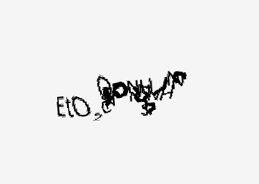 CCOC(=O)N=S(C)(=O)c1ccc(Nc2ncc(-c3cccs3)c(NCCCn3cccn3)n2)cc1